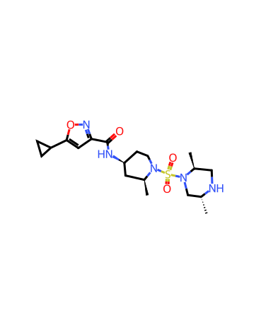 C[C@@H]1CN(S(=O)(=O)N2CC[C@H](NC(=O)c3cc(C4CC4)on3)C[C@@H]2C)[C@@H](C)CN1